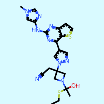 CCSC(C)(O)N1CC(CC#N)(n2cc(-c3nc(Nc4cn(C)cn4)nc4ccsc34)cn2)C1